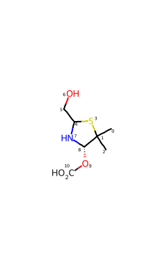 CC1(C)SC(CO)N[C@H]1OC(=O)O